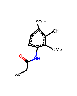 COc1c(NC(=O)CC(C)=O)ccc(S(=O)(=O)O)c1C